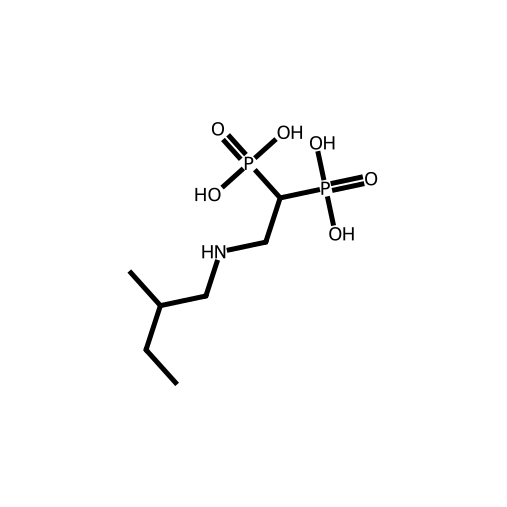 CCC(C)CNCC(P(=O)(O)O)P(=O)(O)O